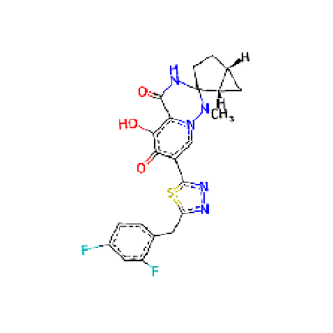 CN1n2cc(-c3nnc(Cc4ccc(F)cc4F)s3)c(=O)c(O)c2C(=O)NC12CC[C@@H]1C[C@@H]12